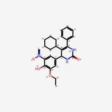 C=[N+]([O-])c1cc(C2NC(=O)NC(c3ccccc3)=C2C2CCCCC2)cc(OCC)c1O